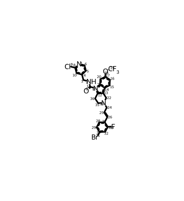 O=C(NCc1ccnc(Cl)c1)n1c2c(c3ccc(OC(F)(F)F)cc31)CN(C/C=C/c1ccc(Br)cc1F)CC2